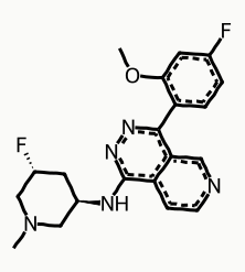 COc1cc(F)ccc1-c1nnc(N[C@@H]2C[C@@H](F)CN(C)C2)c2ccncc12